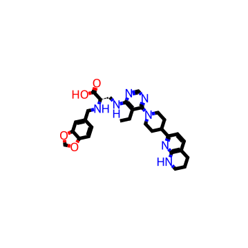 CCc1c(NC[C@H](NCC2=CC3OCOC3C=C2)C(=O)O)ncnc1N1CCC(c2ccc3c(n2)NCCC3)CC1